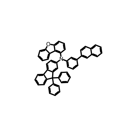 c1ccc(C2(c3ccccc3)c3ccccc3-c3ccc(N(c4cccc(-c5ccc6ccccc6c5)c4)c4cccc5oc6ccccc6c45)cc32)cc1